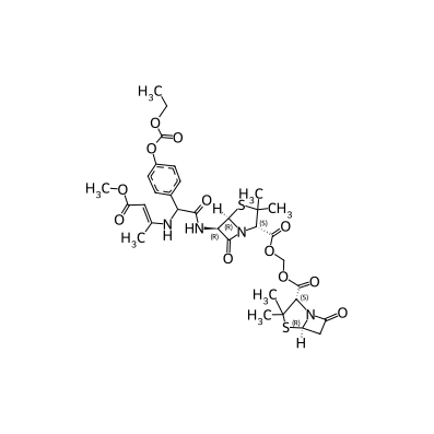 CCOC(=O)Oc1ccc(C(NC(C)=CC(=O)OC)C(=O)N[C@@H]2C(=O)N3[C@@H]2SC(C)(C)[C@@H]3C(=O)OCOC(=O)[C@@H]2N3C(=O)C[C@H]3SC2(C)C)cc1